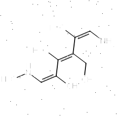 CCC(/C(C)=C\N)=C(C)\C(C)=C/NC